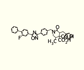 CC1CN(Cc2ccc(-c3noc(-c4ccc(-c5ccccc5)c(F)c4)n3)cc2)C(=O)C(CC2=COCO2)C1(C(=O)O)C(=O)O